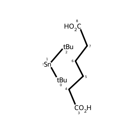 C[C](C)(C)[Sn][C](C)(C)C.O=C(O)CCCCC(=O)O